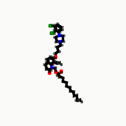 CCCCCCCCCCCC(=O)OCN1C(=O)CCC2=CC=C(OCCCCN3CCN(c4cccc(Cl)c4Cl)CC3)C(C)C21